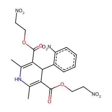 CC1=C(C(=O)OCC[N+](=O)[O-])C(c2ccccc2[N+](=O)[O-])C(C(=O)OCC[N+](=O)[O-])=C(C)N1